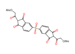 COCC(=O)C1C(=O)c2ccc(S(=O)(=O)c3ccc4c(c3)C(=O)C(C(=O)COC)C4=O)cc2C1=O